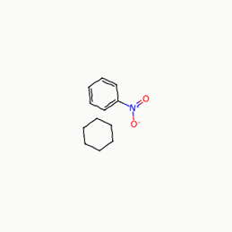 C1CCCCC1.O=[N+]([O-])c1ccccc1